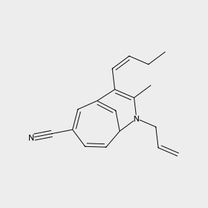 C=CCN1C(C)=C(/C=C\CC)C2=CC1C=CC(C#N)=C2